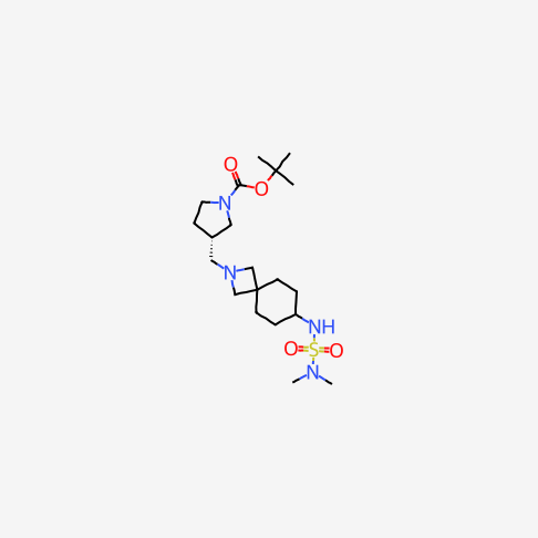 CN(C)S(=O)(=O)NC1CCC2(CC1)CN(C[C@@H]1CCN(C(=O)OC(C)(C)C)C1)C2